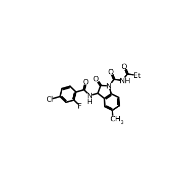 CCC(=O)NC(=O)N1C(=O)C(NC(=O)c2ccc(Cl)cc2F)c2cc(C)ccc21